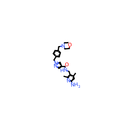 Cc1cc(N)nc(C)c1CNC(=O)c1cnn(Cc2ccc(CN3CCOCC3)cc2)c1